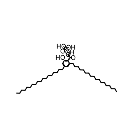 CCCCCCCCCCCCCCCCCCc1cc(O)c(I(=O)=O)c(CCCCCCCCCCCCCCCCCC)c1.O=P(O)(O)O